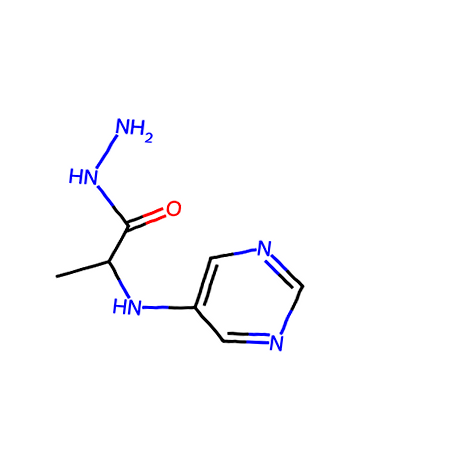 CC(Nc1cncnc1)C(=O)NN